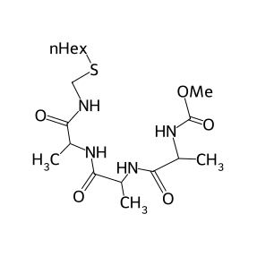 CCCCCCSCNC(=O)C(C)NC(=O)C(C)NC(=O)C(C)NC(=O)OC